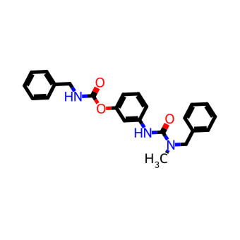 CN(Cc1ccccc1)C(=O)Nc1cccc(OC(=O)NCc2ccccc2)c1